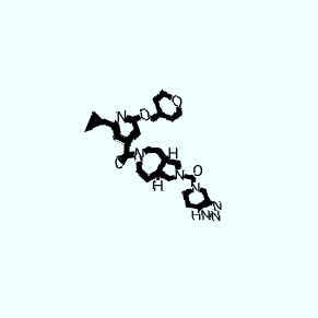 O=C(c1cc(OCC2CCOCC2)nc(C2CC2)c1)N1CC[C@@H]2CN(C(=O)N3CCc4[nH]nnc4C3)C[C@@H]2CC1